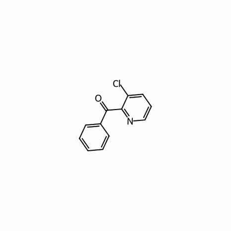 O=C(c1ccccc1)c1ncccc1Cl